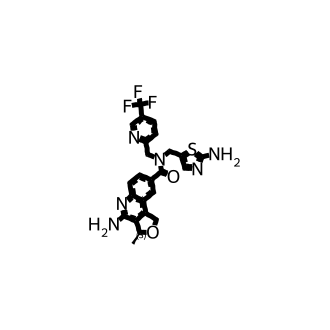 C[C@@H]1OCc2c1c(N)nc1ccc(C(=O)N(Cc3ccc(C(F)(F)F)cn3)Cc3cnc(N)s3)cc21